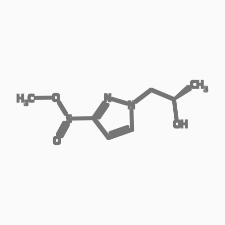 COS(=O)c1ccn(C[C@@H](C)O)n1